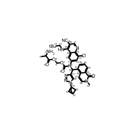 CC(N)C(=O)OCOC(=O)N(c1cc(Cl)c2ncc(C#N)c(NCC(C)(C)C)c2c1)C(c1cn(C23CC(C2)C3)nn1)c1cccc2c(=O)n(C)ccc12